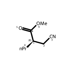 CCC[C@H](CC#N)C(=O)OC